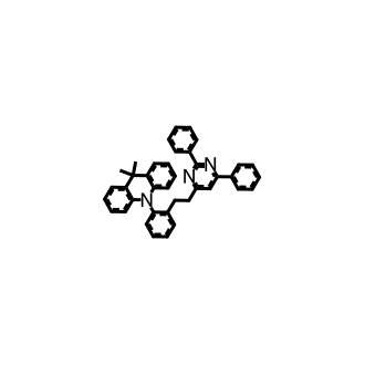 CC1(C)c2ccccc2N(c2ccccc2CCc2cc(-c3ccccc3)nc(-c3ccccc3)n2)c2ccccc21